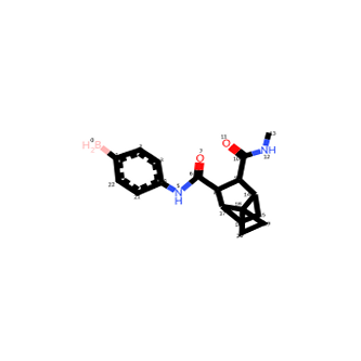 Bc1ccc(NC(=O)C2C(C(=O)NC)C3CCC2C32CC2)cc1